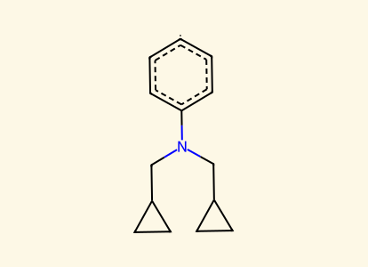 [c]1ccc(N(CC2CC2)CC2CC2)cc1